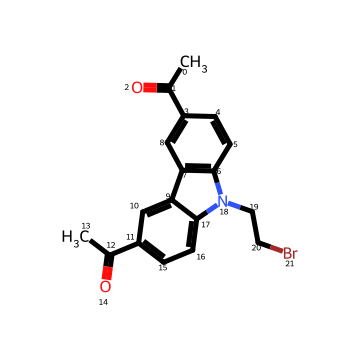 CC(=O)c1ccc2c(c1)c1cc(C(C)=O)ccc1n2CCBr